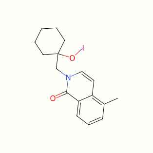 Cc1cccc2c(=O)n(CC3(OI)CCCCC3)ccc12